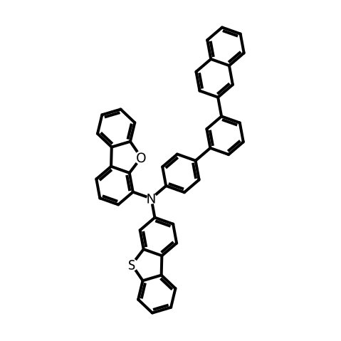 c1cc(-c2ccc(N(c3ccc4c(c3)sc3ccccc34)c3cccc4c3oc3ccccc34)cc2)cc(-c2ccc3ccccc3c2)c1